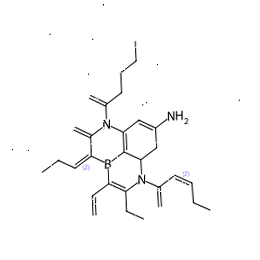 C=CC1=C(CC)N(C(=C)/C=C\CC)C2CC(N)=CC3=C2B1/C(=C/CC)C(=C)N3C(=C)CCCC